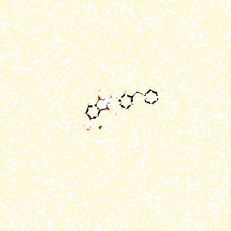 COc1ccc2c(c1OC)C(=O)N(Cc1cccc(Cc3ccccc3)c1)C2=O